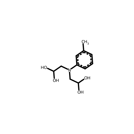 Cc1cccc(N(CC(O)O)CC(O)O)c1